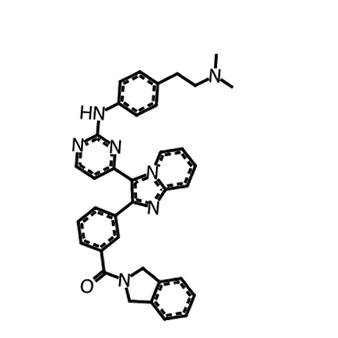 CN(C)CCc1ccc(Nc2nccc(-c3c(-c4cccc(C(=O)N5Cc6ccccc6C5)c4)nc4ccccn34)n2)cc1